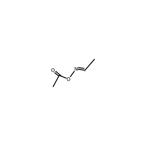 C/[C]=N/OC(C)=O